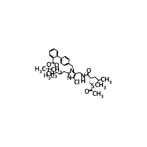 CCCCc1nc(Cl)c(CNC(=O)[C@@H](CSC(C)=O)CC(C)C)n1Cc1ccc(-c2ccccc2C(=O)OC(C)(C)C)cc1